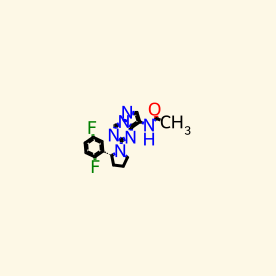 CC(=O)Nc1cnn2cnc(N3CCC[C@@H]3c3cc(F)ccc3F)nc12